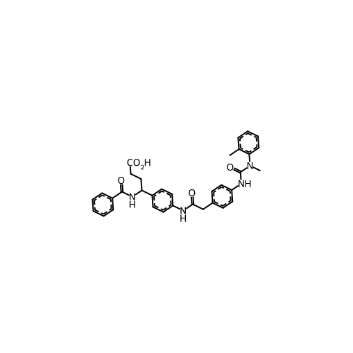 Cc1ccccc1N(C)C(=O)Nc1ccc(CC(=O)Nc2ccc(C(CCC(=O)O)NC(=O)c3ccccc3)cc2)cc1